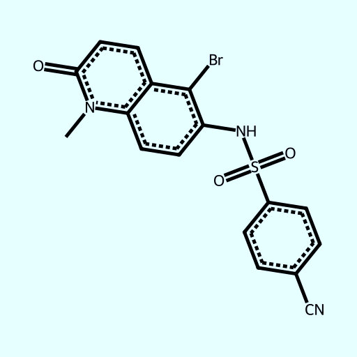 Cn1c(=O)ccc2c(Br)c(NS(=O)(=O)c3ccc(C#N)cc3)ccc21